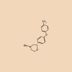 Cc1ccc(Oc2ccc([C@H]3CN(C(C)(C)C)CCO3)cc2)cc1